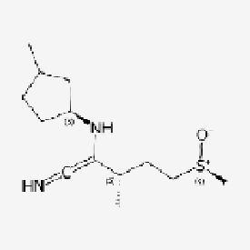 CC1CC[C@H](NC(=C=N)[C@@H](C)CC[S@+](C)[O-])C1